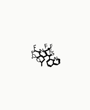 COC(=O)c1c(C(F)F)nc(C(F)(F)F)c(C(=S)c2cccc3cccnc23)c1CC(C)C